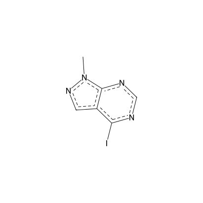 Cn1ncc2c(I)ncnc21